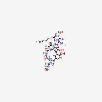 CCCCCCCCCCCCCCCC(=O)N(C)[C@H](CO)C(=O)N[C@H](N)C(=O)NCC(=O)N(C)[C@@H]1C(=O)N[C@@H](C)C(=O)N[C@H](C(=O)NCCO)Cc2ccc(O)c(c2)-c2cc1ccc2O